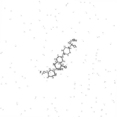 CC(C)(C)OC(=O)N1CCN(c2ccc3nc(-c4cc(C(F)(F)F)ccn4)[nH]c(=O)c3c2)CC1